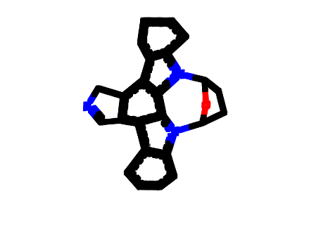 C1=NCc2c1c1c3ccccc3n3c1c1c2c2ccccc2n1C1CCC3O1